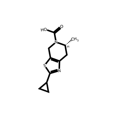 C[C@@H]1Cc2nc(C3CC3)sc2CN1C(=O)O